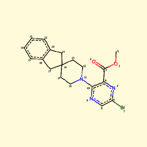 COC(=O)c1nc(Br)cnc1N1CCC2(CC1)Cc1ccccc1C2